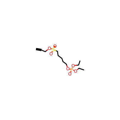 C#CCOS(=O)(=O)CCCCCOP(=O)(OCC)OCC